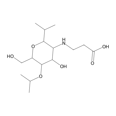 CC(C)OC1C(CO)OC(C(C)C)C(NCCC(=O)O)C1O